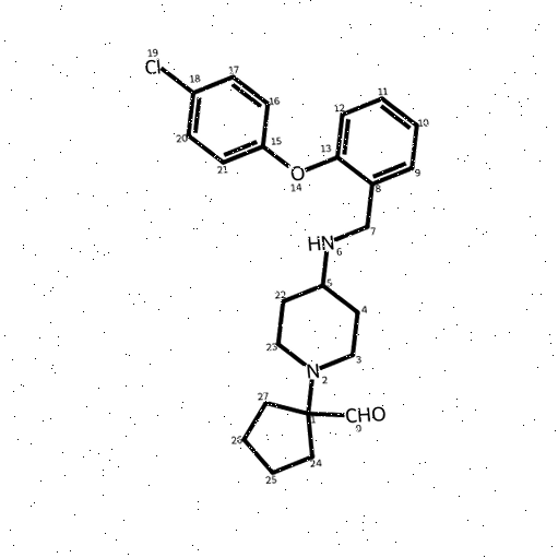 O=CC1(N2CCC(NCc3ccccc3Oc3ccc(Cl)cc3)CC2)CCCC1